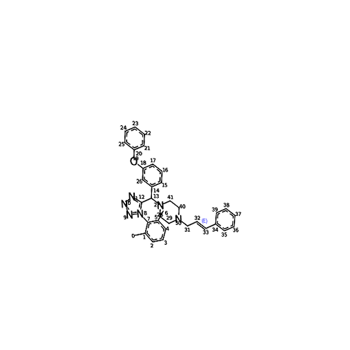 Cc1cccc(C)c1-n1nnnc1C(c1cccc(Oc2ccccc2)c1)N1CCN(C/C=C/c2ccccc2)CC1